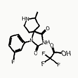 CC1CC2(CCN1)C(=O)NC(=O)N2c1cccc(F)c1.O=C(O)C(F)(F)F